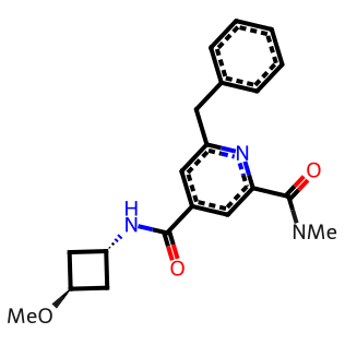 CNC(=O)c1cc(C(=O)N[C@H]2C[C@H](OC)C2)cc(Cc2ccccc2)n1